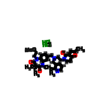 COCCN1C(=O)C(C)(C)C(=O)N(C)c2cc(CN(CCn3ccc4oc(C)cc4c3=O)Cc3cccnc3C)ccc21.Cl.Cl